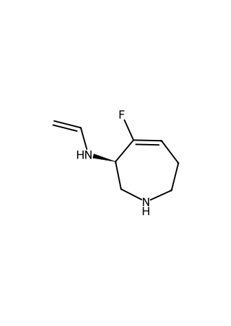 C=CN[C@@H]1CNCCC=C1F